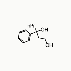 CCCC(O)(CCO)c1ccccc1